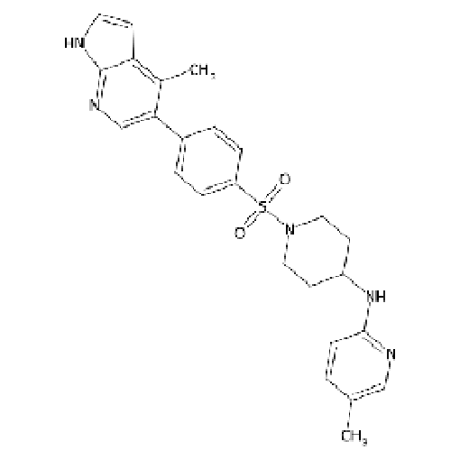 Cc1ccc(NC2CCN(S(=O)(=O)c3ccc(-c4cnc5[nH]ccc5c4C)cc3)CC2)nc1